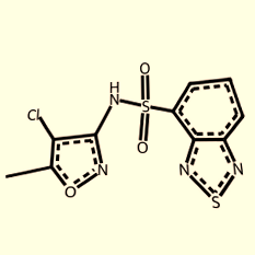 Cc1onc(NS(=O)(=O)c2cccc3nsnc23)c1Cl